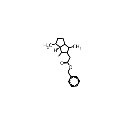 CC1C(CC(=O)OCc2ccccc2)C(I)[C@@H]2C(C)CCC12